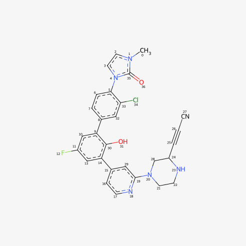 Cn1ccn(-c2ccc(-c3cc(F)cc(-c4ccnc(N5CCNC(C#CC#N)C5)c4)c3O)cc2Cl)c1=O